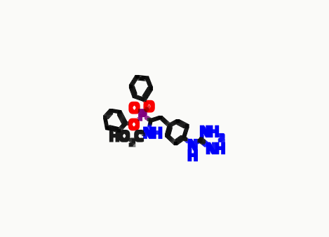 N=C(N)Nc1ccc(CC(NC(=O)O)P(=O)(Oc2ccccc2)Oc2ccccc2)cc1